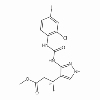 COC(=O)C[C@H](C)c1c[nH]nc1NC(=O)Nc1ccc(I)cc1Cl